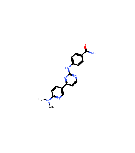 CN(C)c1ccc(-c2ccnc(Nc3ccc(C(N)=O)cc3)n2)cn1